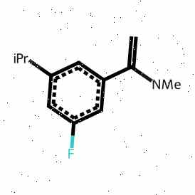 C=C(NC)c1cc(F)cc(C(C)C)c1